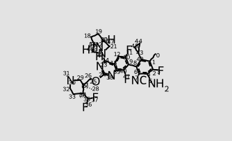 Cc1c(F)c(N)c(C#N)c(-c2c(F)cc3c(N4C[C@H]5CC[C@@H](C4)N5)nc(OC[C@]4(C)CN(C)CC[C@@H]4C(F)F)nc3c2F)c1C1CC1